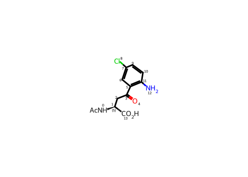 CC(=O)N[C@@H](CC(=O)c1cc(Cl)ccc1N)C(=O)O